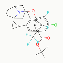 CC(C)(C)OC(=O)c1cc(C2CC2)c(CN2C3CCC2CC(Oc2cc(C(F)(F)F)cc(Cl)c2F)C3)cc1F